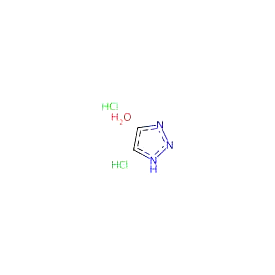 Cl.Cl.O.c1c[nH]nn1